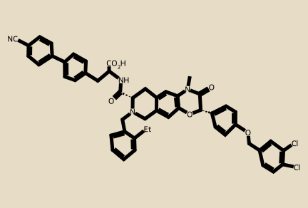 CCc1ccccc1CN1Cc2cc3c(cc2C[C@H]1C(=O)NC(Cc1ccc(-c2ccc(C#N)cc2)cc1)C(=O)O)N(C)C(=O)[C@H](c1ccc(OCc2ccc(Cl)c(Cl)c2)cc1)O3